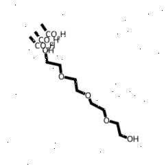 CC(=O)O.CC(=O)O.CC(=O)O.OCCOCCOCCOCCO